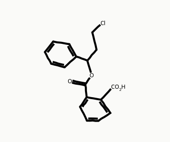 O=C(O)c1ccccc1C(=O)OC(CCCl)c1ccccc1